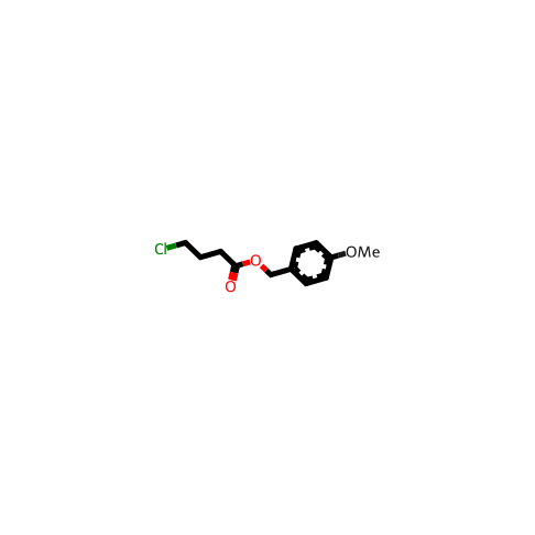 COc1ccc(COC(=O)CCCCl)cc1